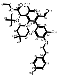 CCOC(=O)[C@@H](OC(C)(C)C)c1c(Cl)nc(C=O)c(-c2ccc(OCCc3ccc(F)cc3)c(F)c2)c1N1CCC(C)(C)CC1